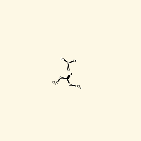 CCN(CC)CC.O=C(OC(Cl)(Cl)Cl)OC(Cl)(Cl)Cl